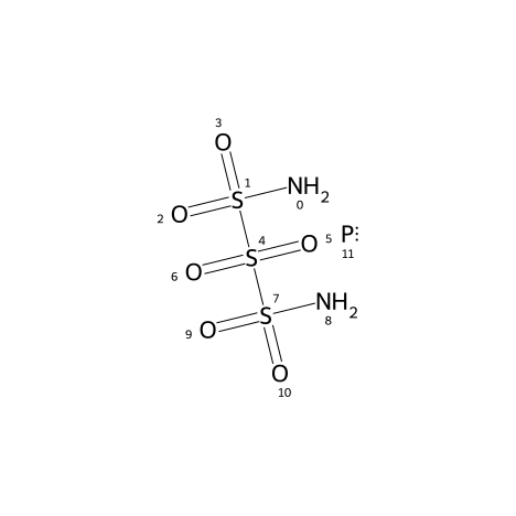 NS(=O)(=O)S(=O)(=O)S(N)(=O)=O.[P]